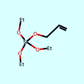 C=CCO[Si](OCC)(OCC)OCC